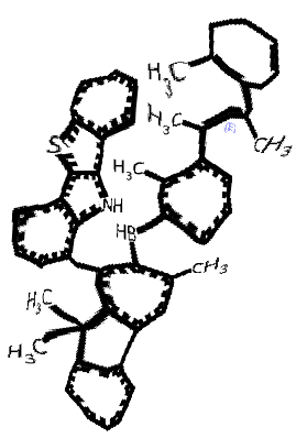 CC1=C(/C(C)=C(\C)c2cccc(Bc3c(C)cc4c(c3-c3cccc5c3[nH]c3c6ccccc6sc53)C(C)(C)c3ccccc3-4)c2C)C=CCC1